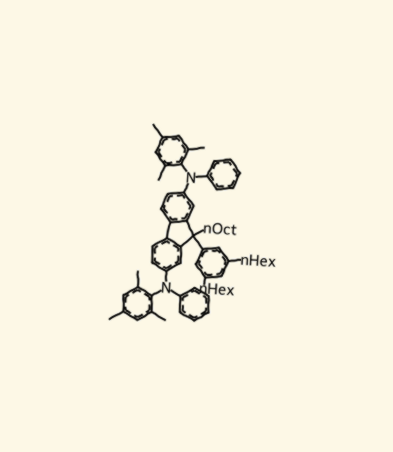 CCCCCCCCC1(c2cc(CCCCCC)cc(CCCCCC)c2)c2cc(N(c3ccccc3)c3c(C)cc(C)cc3C)ccc2-c2ccc(N(c3ccccc3)c3c(C)cc(C)cc3C)cc21